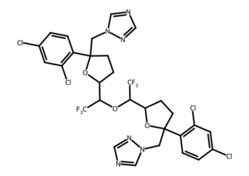 FC(F)(F)C(OC(C1CCC(Cn2cncn2)(c2ccc(Cl)cc2Cl)O1)C(F)(F)F)C1CCC(Cn2cncn2)(c2ccc(Cl)cc2Cl)O1